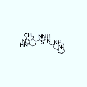 Cc1n[nH]c2ccc(-c3nnc(NC[C@@H](N)Cc4ccccn4)s3)cc12